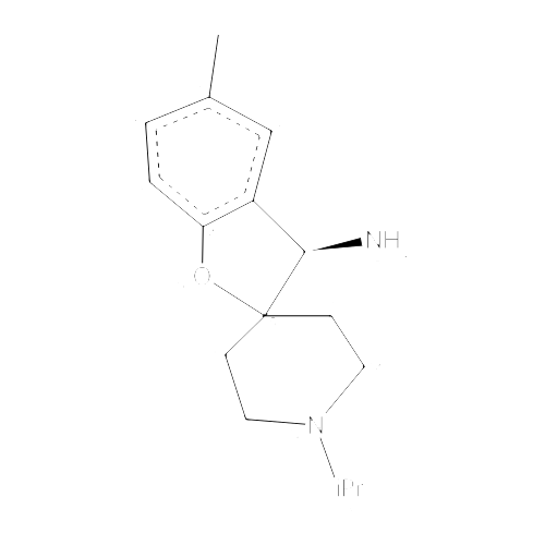 Cc1ccc2c(c1)[C@@H](N)C1(CCN(C(C)C)CC1)O2